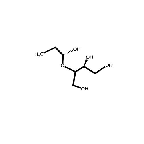 CC[C@H](O)OC(CO)[C@@H](O)CO